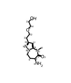 CN1C(=O)C(N)CCn2nc(CCOCCO)cc21